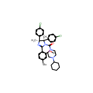 CCOc1cc(C(C)(C)C)ccc1C1=N[C@@](C)(c2ccc(Cl)cc2)[C@@](C)(c2ccc(Cl)cc2)N1C(=O)N1CCN(C2CCCCC2)CC1